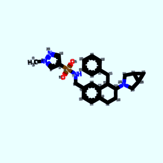 Cn1cc(S(=O)(=O)NCc2ccc3c(c2)C(Cc2ccccc2)C(N2CC4CC4C2)CC3)cn1